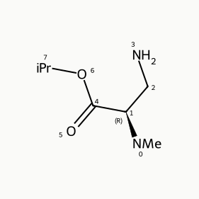 CN[C@H](CN)C(=O)OC(C)C